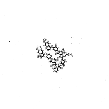 COc1ccc2c(Oc3ccc(NC(=O)c4c(C)n(CC(C)(C)O)n(-c5ccccc5)c4=O)nc3)cc[n+]([O-])c2c1.COc1ccc2c(Oc3ccc(NC(=O)c4c(C)n(CC(C)O)n(-c5ccc(F)cc5)c4=O)cc3F)ccnc2c1